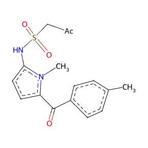 CC(=O)CS(=O)(=O)Nc1ccc(C(=O)c2ccc(C)cc2)n1C